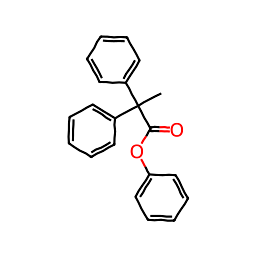 CC(C(=O)Oc1ccccc1)(c1ccccc1)c1ccccc1